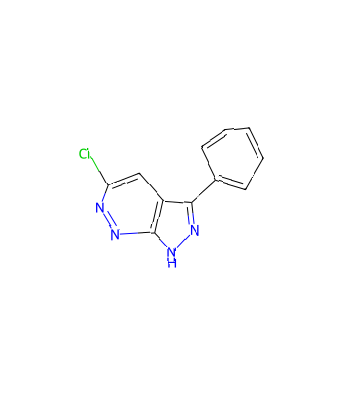 Clc1cc2c(-c3ccccc3)n[nH]c2nn1